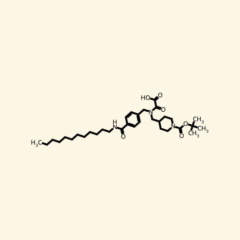 CCCCCCCCCCCCNC(=O)c1ccc(CN(CC2CCN(C(=O)OC(C)(C)C)CC2)C(=O)C(=O)O)cc1